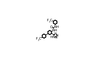 O=C(Nc1cccc(C(F)(F)F)c1)Nc1ccc(-c2ccc(C(F)(F)F)cc2)cc1-c1nnn[nH]1